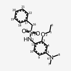 CCOc1cc(N(C)C)ccc1NS(=O)(=O)Cc1ccccc1